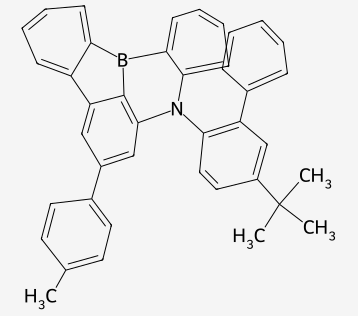 Cc1ccc(-c2cc3c4c(c2)N(c2ccc(C(C)(C)C)cc2-c2ccccc2)c2ccccc2B4c2ccccc2-3)cc1